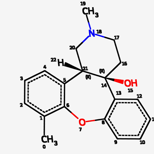 Cc1cccc2c1Oc1ccccc1[C@@]1(O)CCN(C)C[C@@H]21